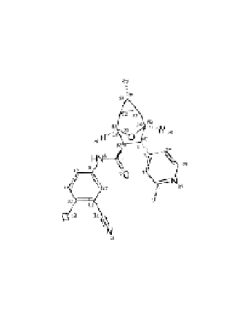 Cc1cc([C@@H]2[C@@H](C(=O)Nc3ccc(Cl)c(C#N)c3)[C@@H]3O[C@H]2C2C3[C@@H]2C)ccn1